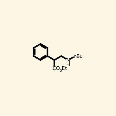 CCCCNCC(C(=O)OCC)c1ccccc1